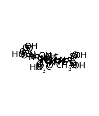 COc1cc(N=Nc2c(SOOO)cc3cc(-n4nc5ccc6c(S(=O)(=O)O)cc(S(=O)(=O)O)cc6c5n4)ccc3c2O)c(OC)cc1N=Nc1cc(C)c(N=Nc2ccc3c(SOOO)cc(SOOO)cc3c2)cc1C